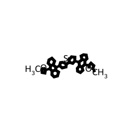 Cc1ccc(-c2c3ccccc3c(-c3ccc4c(c3)sc3ccc(-c5c6ccccc6c(-c6ccc(C)o6)c6ccccc56)cc34)c3ccccc23)o1